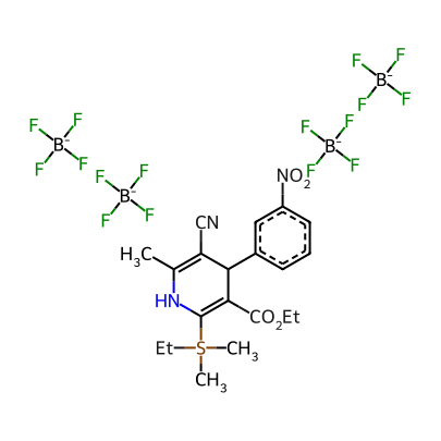 CCOC(=O)C1=C(S(C)(C)CC)NC(C)=C(C#N)C1c1cccc([N+](=O)[O-])c1.F[B-](F)(F)F.F[B-](F)(F)F.F[B-](F)(F)F.F[B-](F)(F)F